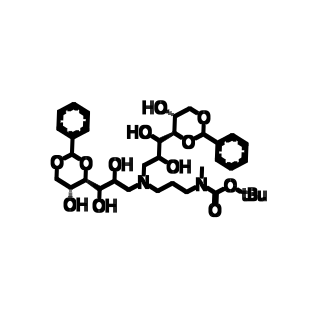 CN(CCCN(CC(O)C(O)[C@@H]1OC(c2ccccc2)OC[C@H]1O)CC(O)C(O)[C@@H]1OC(c2ccccc2)OC[C@H]1O)C(=O)OC(C)(C)C